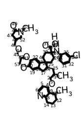 C[C@@H](COc1ccnc2c1[C@H](C)CCC2)C[C@H]1Cc2cc3c(cc2C12CCC(Nc1cccc(Cl)c1)(C(=O)O)CC2)O[C@@H](COCC1CC(=O)N(C)C1)CO3